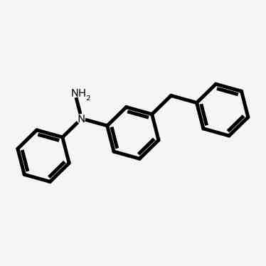 NN(c1ccccc1)c1cccc(Cc2ccccc2)c1